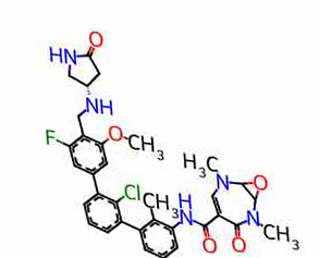 COc1cc(-c2cccc(-c3cccc(NC(=O)C4=CN(C)C5OC5N(C)C4=O)c3C)c2Cl)cc(F)c1CN[C@@H]1CNC(=O)C1